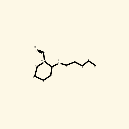 CCCCCOC1CCCCN1[C]=O